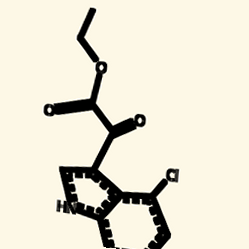 CCOC(=O)C(=O)c1c[nH]c2cccc(Cl)c12